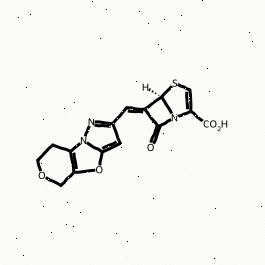 O=C(O)C1=CS[C@@H]2C(=Cc3cc4oc5c(n4n3)CCOC5)C(=O)N12